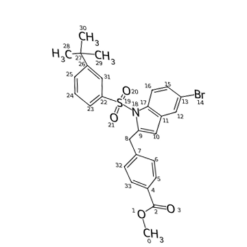 COC(=O)c1ccc(Cc2cc3cc(Br)ccc3n2S(=O)(=O)c2cccc(C(C)(C)C)c2)cc1